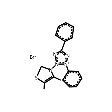 CC1=C(C)N(n2nc(-c3ccccc3)n[n+]2-c2ccccc2)CS1.[Br-]